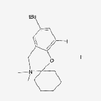 CC(C)(C)c1cc(I)c2c(c1)C[N+](C)(C)C1(CCCCC1)O2.[I-]